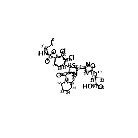 CC[C@@H](C)NS(=O)(=O)c1ccc(-c2sc(-c3noc(CC(C)(C)C(=O)O)n3)nc2C(=O)N2CCCC[C@@H]2C)c(Cl)c1Cl